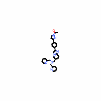 CC(=O)n1ccc(-c2ccc(-c3cn4cc(CN(Cc5ccccn5)Cc5ccccn5)ccc4n3)cc2)n1